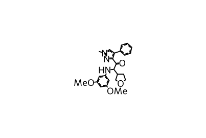 COc1cc(NC(C(=O)c2nn(C)cc2-c2ccccc2)C2CCOC2)cc(OC)c1